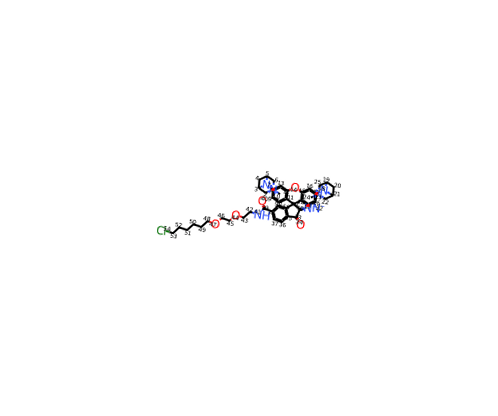 CN1CC2CC(C1)N2c1ccc2c(c1)Oc1cc(N3C4CC3CN(C)C4)ccc1C21C(=[N+]=[N-])C(=O)c2ccc(C(=O)NCCOCCOCCCCCCCl)cc21